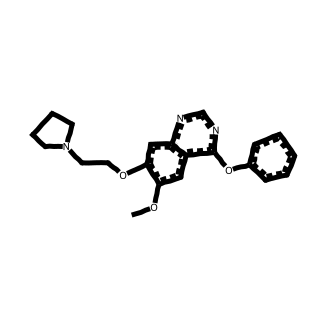 COc1cc2c(Oc3ccccc3)ncnc2cc1OCCN1CCCC1